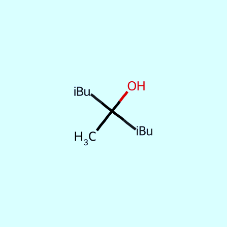 CCC(C)C(C)(O)C(C)CC